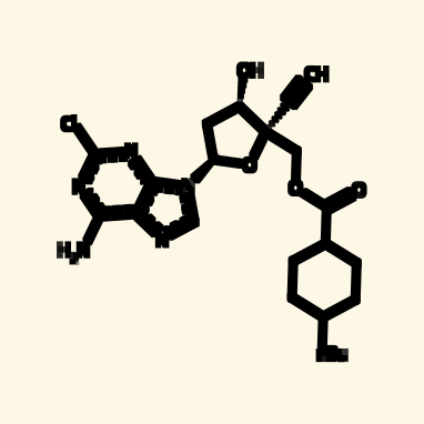 C#C[C@]1(COC(=O)C2CCC(CCCC)CC2)O[C@@H](n2cnc3c(N)nc(Cl)nc32)C[C@@H]1O